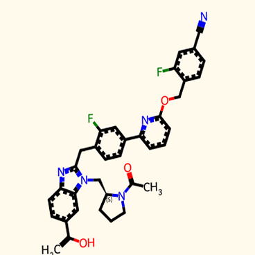 C=C(O)c1ccc2nc(Cc3ccc(-c4cccc(OCc5ccc(C#N)cc5F)n4)cc3F)n(C[C@@H]3CCCN3C(C)=O)c2c1